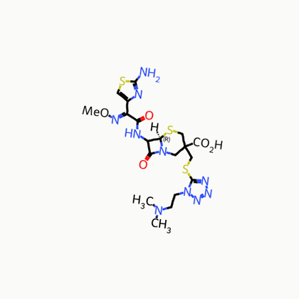 CON=C(C(=O)NC1C(=O)N2CC(CSc3nnnn3CCN(C)C)(C(=O)O)CS[C@H]12)c1csc(N)n1